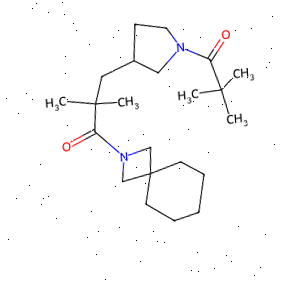 CC(C)(C)C(=O)N1CCC(CC(C)(C)C(=O)N2CC3(CCCCC3)C2)C1